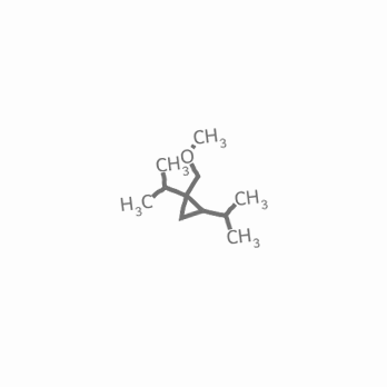 COCC1(C(C)C)CC1C(C)C